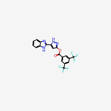 O=C(Oc1cc(-c2nc3ccccc3[nH]2)[nH]n1)c1cc(C(F)(F)F)cc(C(F)(F)F)c1